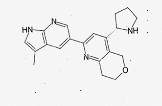 Cc1c[nH]c2ncc(-c3cc([C@@H]4CCCN4)c4c(n3)CCOC4)cc12